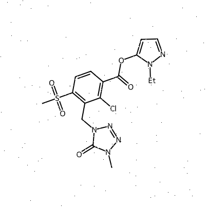 CCn1nccc1OC(=O)c1ccc(S(C)(=O)=O)c(Cn2nnn(C)c2=O)c1Cl